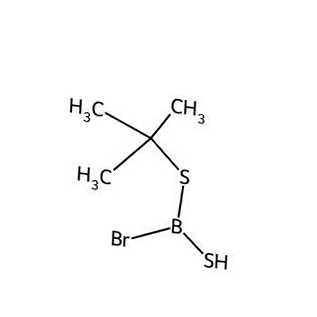 CC(C)(C)SB(S)Br